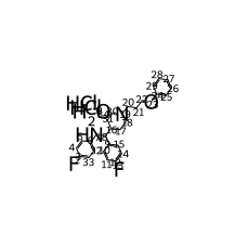 Cl.Cl.Fc1ccc(NC(c2ccc(F)cc2)C2CCN(CCCOc3ccccc3)CC2)cc1.O